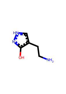 NCCc1c[nH]nc1O